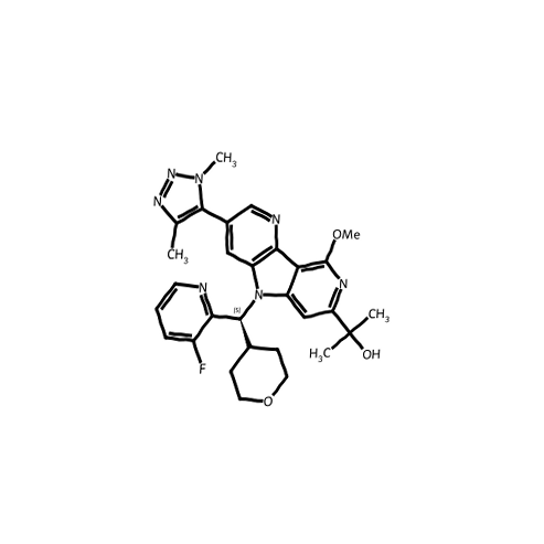 COc1nc(C(C)(C)O)cc2c1c1ncc(-c3c(C)nnn3C)cc1n2[C@H](c1ncccc1F)C1CCOCC1